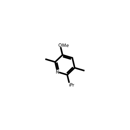 COc1cc(C)c(C(C)C)nc1C